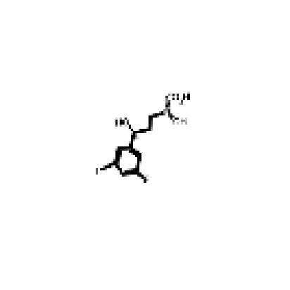 O=C(O)N(O)CC[C@H](O)c1cc(F)cc(F)c1